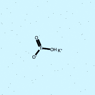 [K+].[O]=[Ti]([O-])[OH]